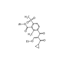 CCOC=C(C(=O)c1ccc(S(C)(=O)=O)c(C(=O)OC(C)C)c1C)C(=O)C1CC1